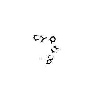 Nc1nc(N2CCC3(CC2)CCC(F)(F)[C@H]3N)cnc1Sc1cccc(NC(=O)c2c(O)nc3ccccn3c2=O)c1Cl